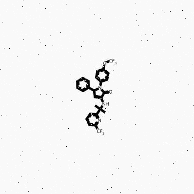 CC(C)(NC1=CC(c2ccccc2)N(c2ccc(OC(F)(F)F)cc2)C1=O)c1cccc(C(F)(F)F)n1